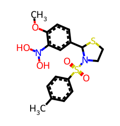 COc1ccc(C2SCCN2S(=O)(=O)c2ccc(C)cc2)cc1N(O)O